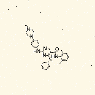 Cc1cccc(C)c1NC(=O)c1cnc(Nc2ccc(N3CCN(C)CC3)cc2)nc1Sc1ccccc1